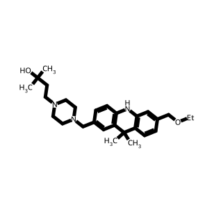 CCOCc1ccc2c(c1)Nc1ccc(CN3CCN(CCC(C)(C)O)CC3)cc1C2(C)C